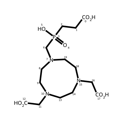 O=C(O)CCP(=O)(O)CN1CCN(CC(=O)O)CCN(CC(=O)O)CC1